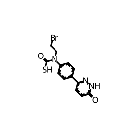 O=C(S)N(CCBr)c1ccc(-c2ccc(=O)[nH]n2)cc1